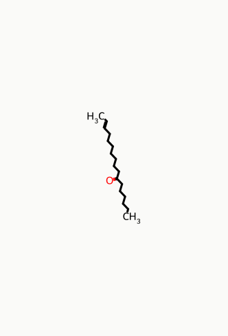 CC=CCCCCCCCC(=O)CCCCCC